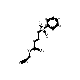 C#CCOC(=O)CCCS(=O)(=O)c1ccccc1